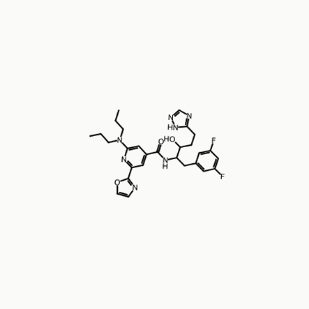 CCCN(CCC)c1cc(C(=O)NC(Cc2cc(F)cc(F)c2)C(O)CCc2ncn[nH]2)cc(-c2ncco2)n1